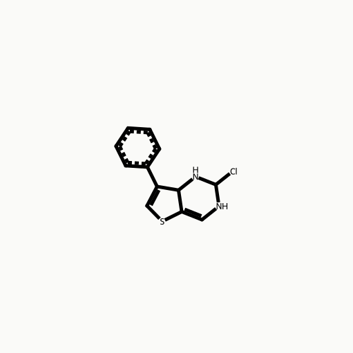 ClC1NC=C2SC=C(c3ccccc3)C2N1